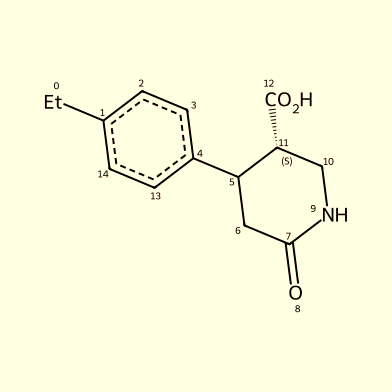 CCc1ccc(C2CC(=O)NC[C@H]2C(=O)O)cc1